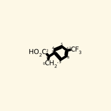 [CH2]C(C(=O)O)c1ccc(C(F)(F)F)cc1